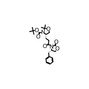 CC(C)(C)OC(=O)N1[C@@H](CCC(=O)N2C(=O)OC[C@@H]2Cc2ccccc2)COC1(C)C